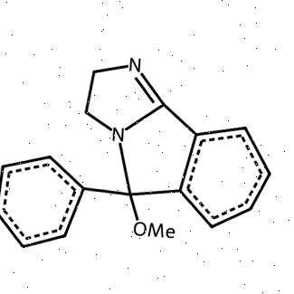 COC1(c2ccccc2)c2ccccc2C2=NCCN21